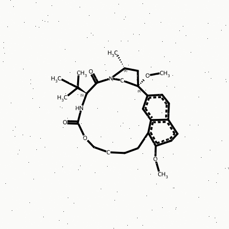 COc1ccc2ccc3cc2c1CCCCOC(=O)N[C@@H](C(C)(C)C)C(=O)N1C[C@@]3(OC)C[C@H]1C